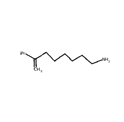 C=C(CCCCCCN)C(C)C